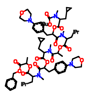 CC(C)CC(C(=O)OC(C)C(=O)N(C)C(CC1CC1)C(=O)OC(Cc1ccc(N2CCOCC2)cc1)C(=O)N(C)C(CC(C)C)C(=O)OC(C)C(=O)OCc1ccccc1)N(C)C(=O)C(Cc1ccc(N2CCOCC2)cc1)OC(=O)C(CC1CC1)N(C)C(=O)OC(C)(C)C